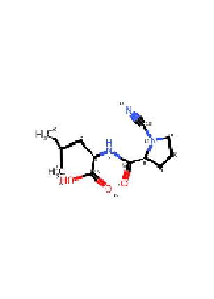 CC(C)C[C@@H](NC(=O)[C@@H]1CCCN1C#N)C(=O)O